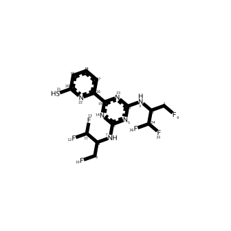 FCC(Nc1nc(NC(CF)C(F)F)nc(-c2cccc(S)n2)n1)C(F)F